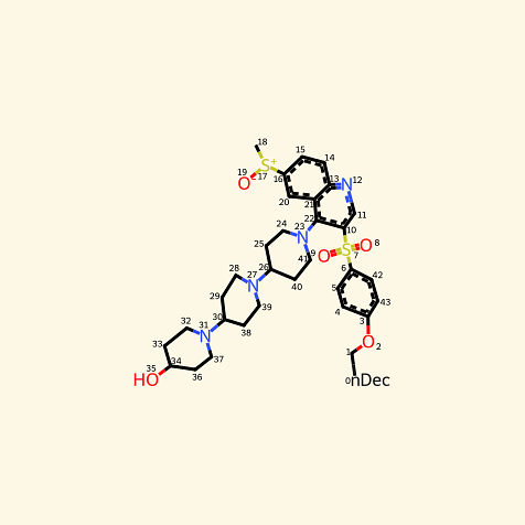 CCCCCCCCCCCOc1ccc(S(=O)(=O)c2cnc3ccc([S+](C)[O-])cc3c2N2CCC(N3CCC(N4CCC(O)CC4)CC3)CC2)cc1